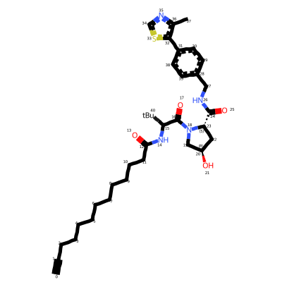 C#CCCCCCCCCCCC(=O)NC(C(=O)N1C[C@H](O)C[C@H]1C(=O)NCc1ccc(-c2scnc2C)cc1)C(C)(C)C